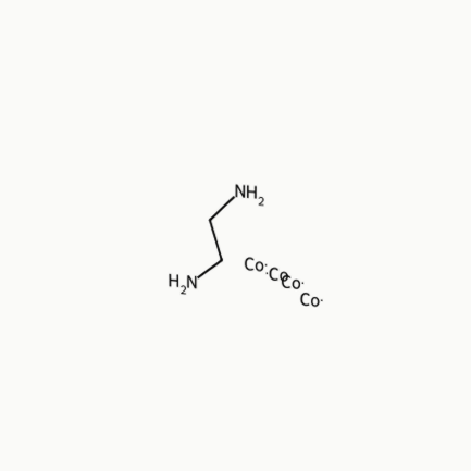 NCCN.[Co].[Co].[Co].[Co]